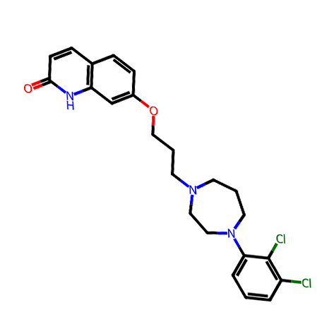 O=c1ccc2ccc(OCCCN3CCCN(c4cccc(Cl)c4Cl)CC3)cc2[nH]1